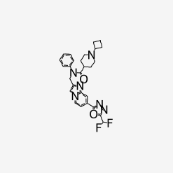 O=C(C1CCN(C2CCC2)CC1)N(Cc1cn2ccc(-c3nnc(C(F)F)o3)cc2n1)c1ccccc1